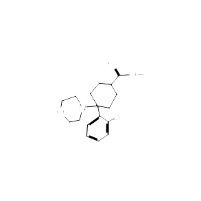 O=C(O)C1CCC(c2ccccc2Br)(N2CCOCC2)CC1